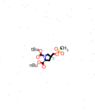 CCCCOC(=O)[C@@H]1C[C@](F)(COS(C)(=O)=O)CN1C(=O)OC(C)(C)C